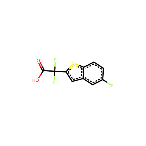 O=C(O)C(F)(F)c1cc2cc(F)ccc2s1